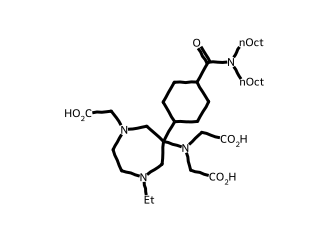 CCCCCCCCN(CCCCCCCC)C(=O)C1CCC(C2(N(CC(=O)O)CC(=O)O)CN(CC)CCN(CC(=O)O)C2)CC1